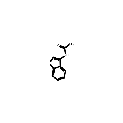 NC(=O)Nc1csc2ccccc12